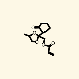 C=CC(=O)OCC1(C2CCCCC2=O)OCC(C)O1